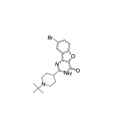 CC(C)(C)N1CCC(c2nc3c(oc4ccc(Br)cc43)c(=O)[nH]2)CC1